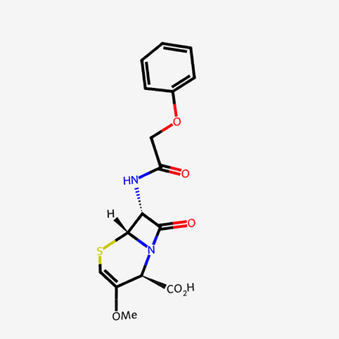 COC1=CS[C@@H]2[C@H](NC(=O)COc3ccccc3)C(=O)N2[C@H]1C(=O)O